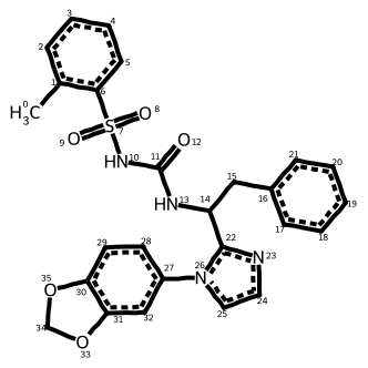 Cc1ccccc1S(=O)(=O)NC(=O)NC(Cc1ccccc1)c1nccn1-c1ccc2c(c1)OCO2